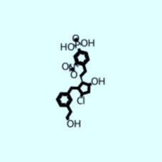 O=[N+]([O-])c1cc(P(=O)(O)O)ccc1CC[C@H]1C(O)CC(Cl)C1Cc1cccc(CCO)c1